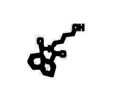 O=C1c2cccc3cccc(c23)C(=O)N1CCCCO